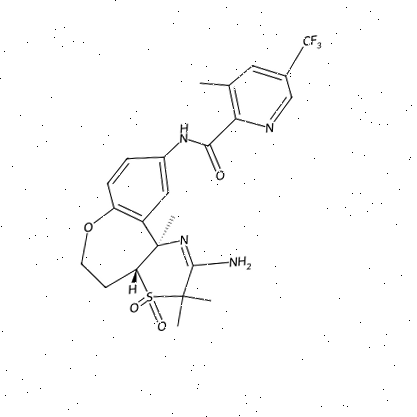 Cc1cc(C(F)(F)F)cnc1C(=O)Nc1ccc2c(c1)[C@@]1(C)N=C(N)C(C)(C)S(=O)(=O)[C@@H]1CCO2